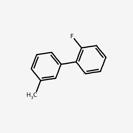 Cc1cccc(-c2[c]cccc2F)c1